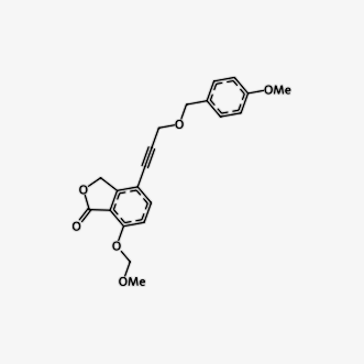 COCOc1ccc(C#CCOCc2ccc(OC)cc2)c2c1C(=O)OC2